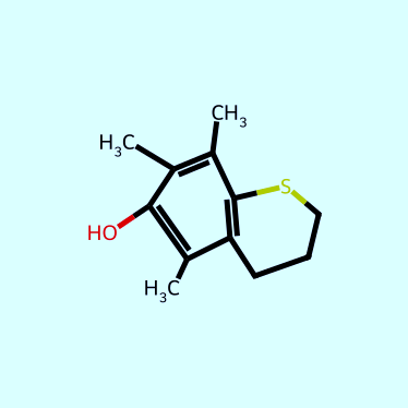 Cc1c(C)c2c(c(C)c1O)CCCS2